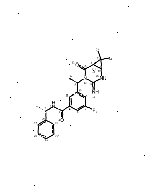 C[C@H](NC(=O)c1cc(F)cc([C@@H](C)N2C(=N)N[C@@]3(C)C(C2=O)C3(C)C)c1)c1ccccc1